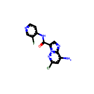 Nc1cc(Cl)nn2c(C(=O)Nc3ccncc3F)cnc12